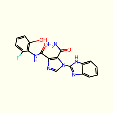 NC(=O)c1c(C(=O)Nc2c(O)cccc2F)ncn1-c1nc2ccccc2[nH]1